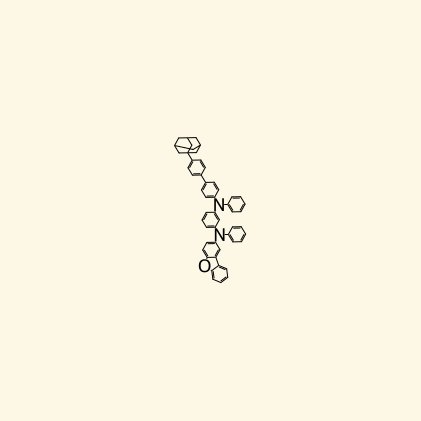 c1ccc(N(c2ccc(-c3ccc(C45CC6CC(CC(C6)C4)C5)cc3)cc2)c2cccc(N(c3ccccc3)c3ccc4oc5ccccc5c4c3)c2)cc1